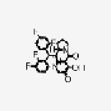 O=C1c2c(O)c(=O)cnn2[C@@H](C(c2ccc(F)cc2F)c2cccc(F)c2F)[C@H]2CCCN12